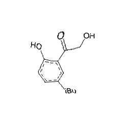 CCC(C)c1ccc(O)c(C(=O)CO)c1